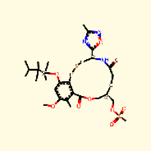 COc1cc(O[Si](C)(C)C(C)(C)C(C)C)c2c(c1C)C(=O)OC[C@H](COS(C)(=O)=O)CCC(=S)N[C@H](c1nc(C)no1)CSC2